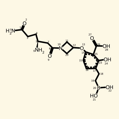 NC(=O)CC[C@H](N)CC(=O)N1CC(Oc2ccc(CCB(O)O)c(O)c2C(=O)O)C1